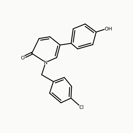 O=c1ccc(-c2ccc(O)cc2)cn1Cc1ccc(Cl)cc1